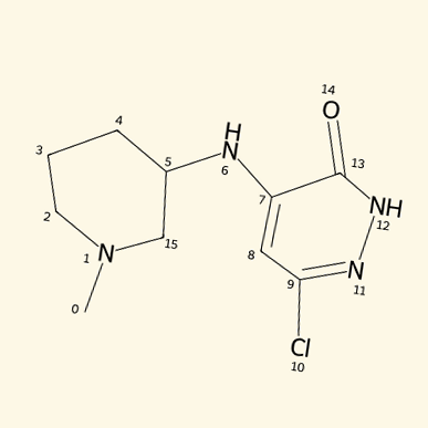 CN1CCCC(Nc2cc(Cl)n[nH]c2=O)C1